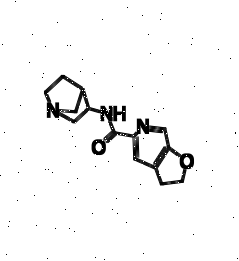 O=C(NC1CN2CCC1C2)c1cc2c(cn1)OCC2